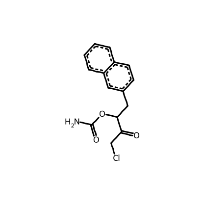 NC(=O)OC(Cc1ccc2ccccc2c1)C(=O)CCl